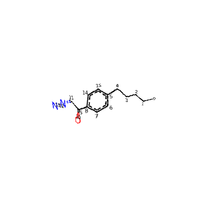 CCCCCc1ccc(C(=O)C=[N+]=[N-])cc1